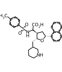 Cc1ccc(S(=O)(=O)NC(C(=O)O)[C@H]2C[C@H](c3cccc4ccccc34)O[C@@H]2CC2CCCNC2)cc1